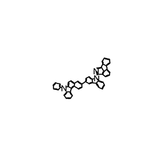 c1ccc(-n2c3ccccc3c3c4ccc(-c5ccc6c(c5)c5ccccc5n6-c5ncc6c7c(cccc57)-c5ccccc5-6)cc4ccc32)cc1